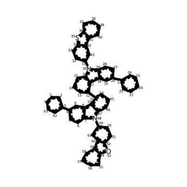 c1ccc(-c2ccc3c(c2)c2c(-c4cccc5c4c4cc(-c6ccccc6)ccc4n5-c4ccc5sc6ccccc6c5c4)cccc2n3-c2ccc3oc4ccccc4c3c2)cc1